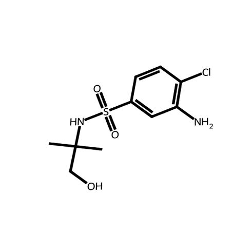 CC(C)(CO)NS(=O)(=O)c1ccc(Cl)c(N)c1